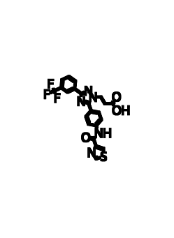 O=C(O)CCn1nc(-c2cccc(C(F)(F)F)c2)nc1-c1ccc(NC(=O)c2cscn2)cc1